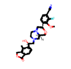 COc1c([C@@H]2CN3CCN(C[C@H](O)c4ccc5c(c4C)COC5=O)C[C@@H]3CO2)ccc(C#N)c1F